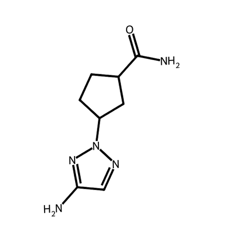 NC(=O)C1CCC(n2ncc(N)n2)C1